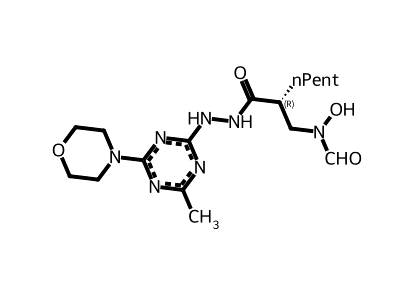 CCCCC[C@H](CN(O)C=O)C(=O)NNc1nc(C)nc(N2CCOCC2)n1